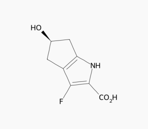 O=C(O)c1[nH]c2c(c1F)C[C@@H](O)C2